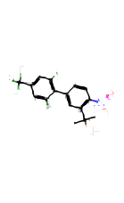 CC(C)(S)c1cc(-c2c(Cl)cc(C(F)(F)F)cc2Cl)ccc1[N+](=O)[O-]